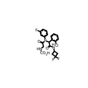 O=C(O)NCC(=O)N(c1cccc(F)c1)C(C(=O)NC1CC(F)(F)C1)c1ccccc1Cl